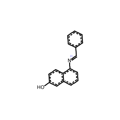 Oc1ccc2c(/N=C/c3ccccc3)cccc2c1